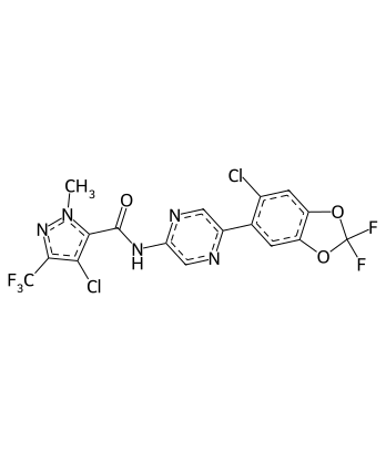 Cn1nc(C(F)(F)F)c(Cl)c1C(=O)Nc1cnc(-c2cc3c(cc2Cl)OC(F)(F)O3)cn1